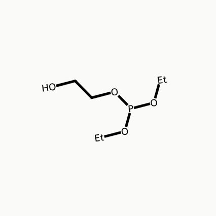 CCOP(OCC)OCCO